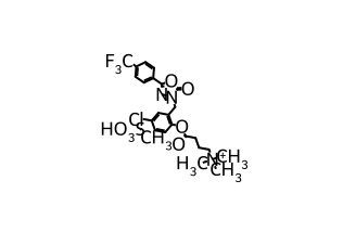 CS(=O)(=O)O.C[N+](C)(C)CCCC(=O)Oc1ccc(Cl)cc1Cn1nc(-c2ccc(C(F)(F)F)cc2)oc1=O